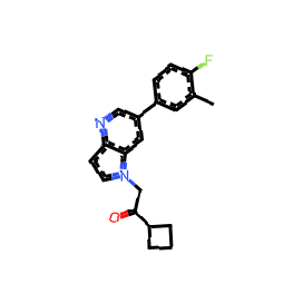 Cc1cc(-c2cnc3ccn(CC(=O)C4CCC4)c3c2)ccc1F